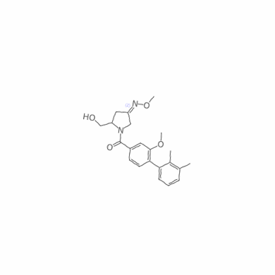 CO/N=C1/CC(CO)N(C(=O)c2ccc(-c3cccc(C)c3C)c(OC)c2)C1